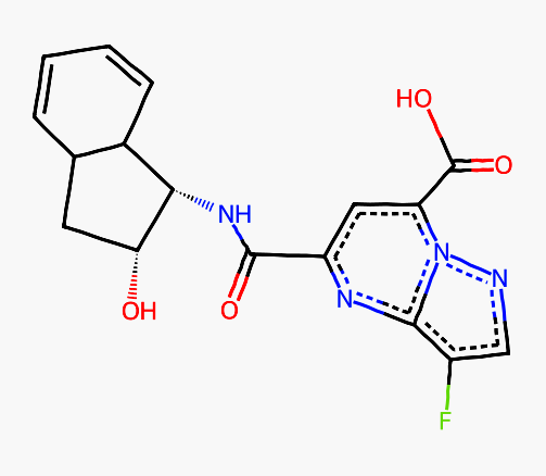 O=C(N[C@H]1C2C=CC=CC2C[C@H]1O)c1cc(C(=O)O)n2ncc(F)c2n1